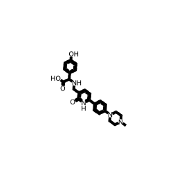 CN1CCN(c2ccc(-c3ccc(CNC(C(=O)O)c4ccc(O)cc4)c(=O)[nH]3)cc2)CC1